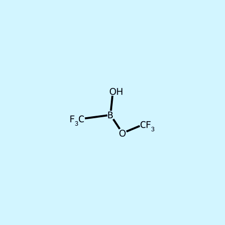 OB(OC(F)(F)F)C(F)(F)F